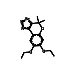 CCOc1cc2c(cc1OCC)-c1nn[se]c1C(C)(C)O2